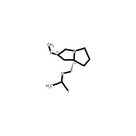 CS[C@H]1CN2CCC[C@@]2(COC(C)I)C1